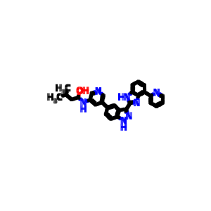 CC(C)CC(O)Nc1cncc(-c2ccc3[nH]nc(-c4nc5c(-c6ccccn6)cccc5[nH]4)c3c2)c1